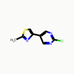 Cc1nc(-c2cnc(Cl)nc2)cs1